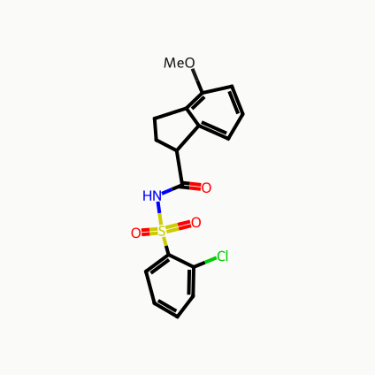 COc1cccc2c1CCC2C(=O)NS(=O)(=O)c1ccccc1Cl